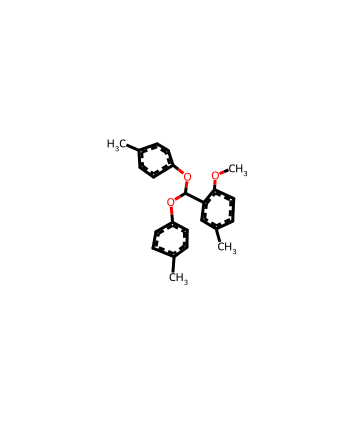 COc1ccc(C)cc1C(Oc1ccc(C)cc1)Oc1ccc(C)cc1